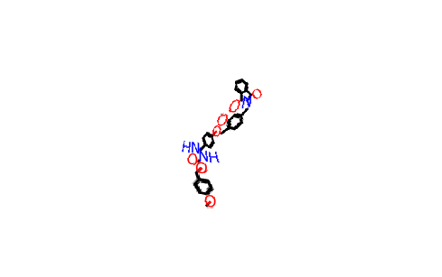 COc1ccc(COC(=O)NC(=N)c2ccc(OCc3ccc(CN4C(=O)c5ccccc5C4=O)cc3OC)cc2)cc1